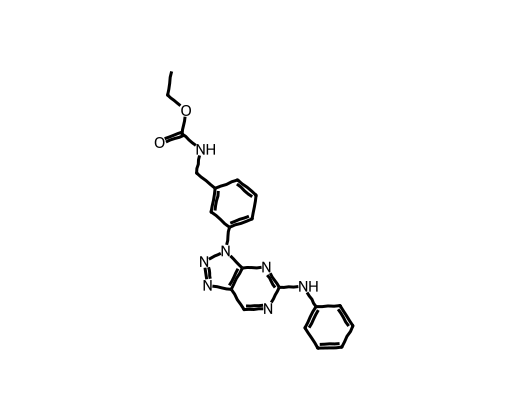 CCOC(=O)NCc1cccc(-n2nnc3cnc(Nc4ccccc4)nc32)c1